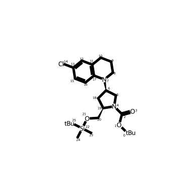 CC(C)(C)OC(=O)N1C[C@H](N2CCCc3cc(Cl)ccc32)C[C@@H]1CO[Si](C)(C)C(C)(C)C